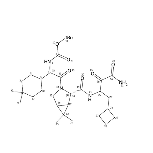 CC1(C)CCC([C@H](NC(=O)OC(C)(C)C)C(=O)N2CC3C([C@H]2C(=O)NC(CC2CCC2)C(=O)C(N)=O)C3(C)C)CC1